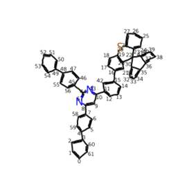 c1ccc(-c2ccc(-c3cc(-c4cccc(-c5ccc6c(c5)C5(c7ccccc7S6)c6ccccc6-c6ccccc65)c4)nc(-c4ccc(-c5ccccc5)cc4)n3)cc2)cc1